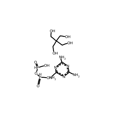 Nc1nc(N)nc(N)n1.O=[PH](O)O[PH](=O)O.OCC(CO)(CO)CO